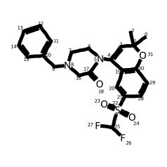 CC1(C)C=C(N2CCN(Cc3ccccc3)CC2=O)c2cc(S(=O)(=O)C(F)F)ccc2O1